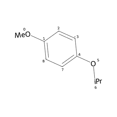 COc1c[c]c(OC(C)C)cc1